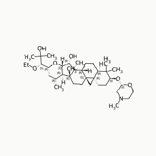 CCO[C@@H]([C@H]1C[C@@H](C)[C@H]2[C@H](O1)[C@H](O)[C@@]1(C)[C@@H]3CC[C@H]4C(C)(C)[C@@H](O[C@H]5CN(C)CCO5)CC[C@@]45C[C@@]35CC[C@]21C)C(C)(C)O